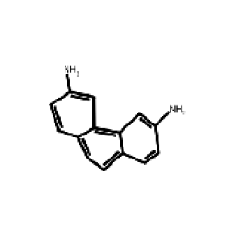 Nc1ccc2ccc3ccc(N)cc3c2c1